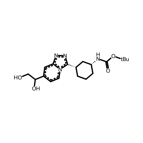 CC(C)(C)OC(=O)N[C@@H]1CCC[C@H](c2nnc3cc(C(O)CO)ccn23)C1